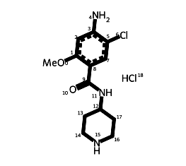 COc1cc(N)c(Cl)cc1C(=O)NC1CCNCC1.Cl